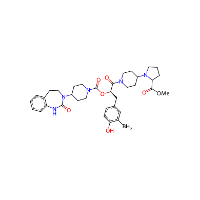 Bc1cc(C[C@@H](OC(=O)N2CCC(N3CCc4ccccc4NC3=O)CC2)C(=O)N2CCC(N3CCCC3C(=O)OC)CC2)ccc1O